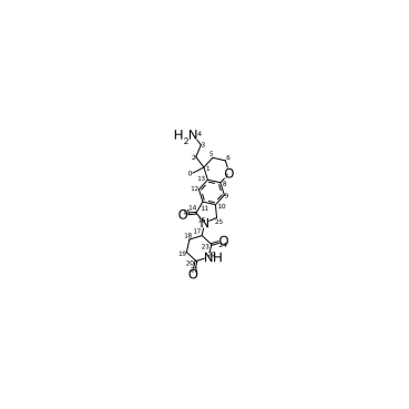 CC1(CCN)CCOc2cc3c(cc21)C(=O)N(C1CCC(=O)NC1=O)C3